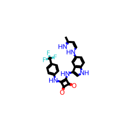 CC(=N)/C=C\Nc1ccc2[nH]cc(Nc3c(Nc4ccc(C(F)(F)F)cc4)c(=O)c3=O)c2c1